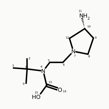 CC(C)(C)N(CCN1CC[C@@H](N)C1)C(=O)O